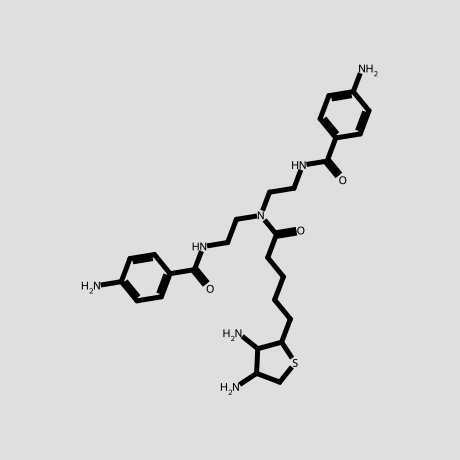 Nc1ccc(C(=O)NCCN(CCNC(=O)c2ccc(N)cc2)C(=O)CCCCC2SCC(N)C2N)cc1